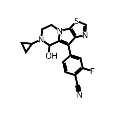 N#Cc1ccc(-c2c3n(c4scnc24)CCN(C2CC2)C3O)cc1F